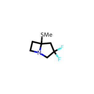 CSC12CCN1CC(F)(F)C2